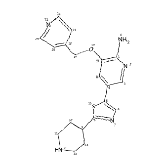 Nc1ncc(-c2cnc(C3CCNCC3)s2)cc1OCc1ccncc1